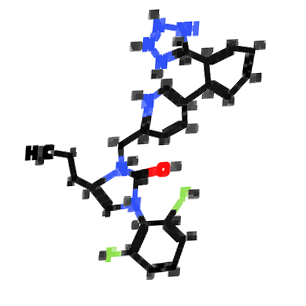 CCCc1cn(-c2c(F)cccc2F)c(=O)n1Cc1ccc(-c2ccccc2-c2nnn[nH]2)cn1